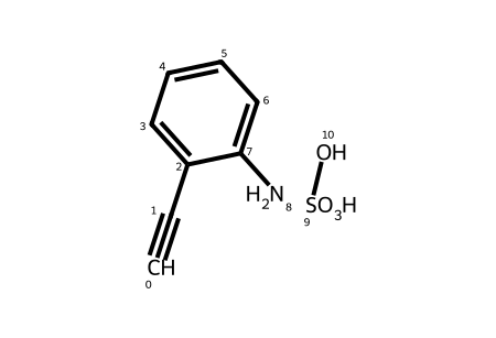 C#Cc1ccccc1N.O=S(=O)(O)O